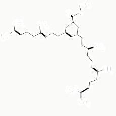 C=C(CC/C=C(\C)CCC=C(C)C)CCC1C=C(CC/C=C(\C)CCC=C(C)C)CC(C(=O)OCCCC)C1